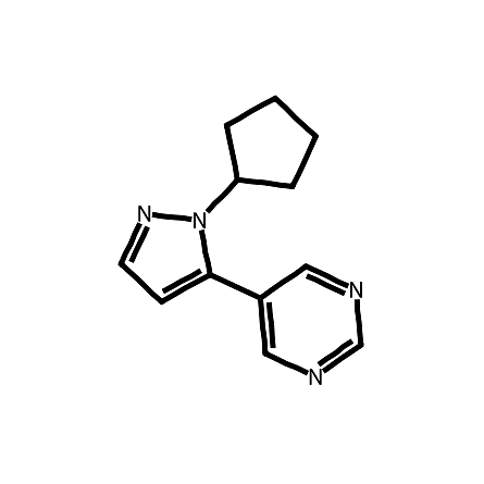 c1ncc(-c2ccnn2C2CCCC2)cn1